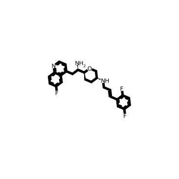 N[C@@H](Cc1ccnc2ccc(F)cc12)[C@@H]1CC[C@@H](NC/C=C/c2cc(F)ccc2F)CO1